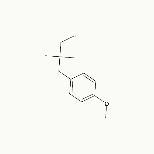 [CH2]CC(C)(C)Cc1ccc(OC)cc1